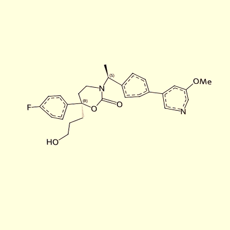 COc1cncc(-c2ccc([C@H](C)N3CC[C@](CCCO)(c4ccc(F)cc4)OC3=O)cc2)c1